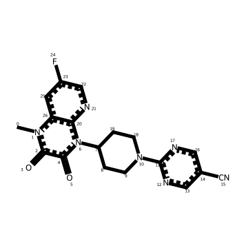 Cn1c(=O)c(=O)n(C2CCN(c3ncc(C#N)cn3)CC2)c2ncc(F)cc21